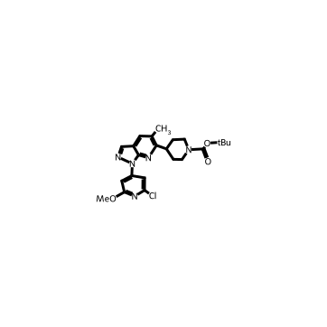 COc1cc(-n2ncc3cc(C)c(C4CCN(C(=O)OC(C)(C)C)CC4)nc32)cc(Cl)n1